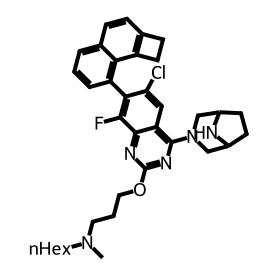 CCCCCCN(C)CCCOc1nc(N2CC3CCC(C2)N3)c2cc(Cl)c(-c3cccc4ccc5c(c34)CC5)c(F)c2n1